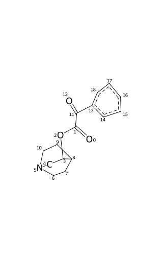 O=C(OC1CN2CCC1CC2)C(=O)c1ccccc1